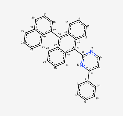 c1ccc(-c2ccnc(-c3c4ccccc4c(-c4cccc5ccccc45)c4ccccc34)n2)cc1